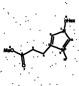 CCCCCCn1cc(CCC(=O)OC)[n+](C)c1